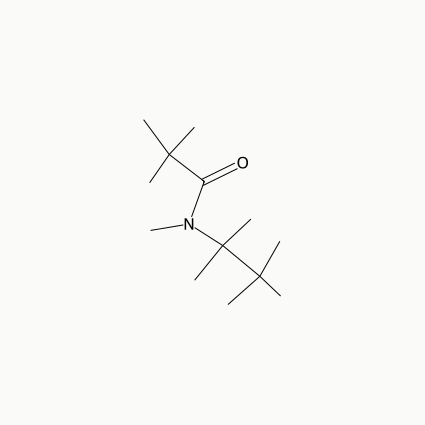 CN(C(=O)C(C)(C)C)C(C)(C)C(C)(C)C